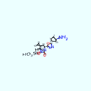 N[C@@H]1CC[C@@H](c2nnc([C@@H]3CC4(CC4)[C@@H]4CN3C(=O)N4OS(=O)(=O)O)o2)C1